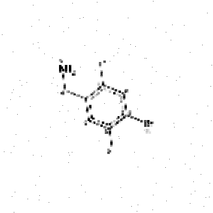 Cc1cc(CN)c(C)cc1Br